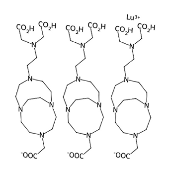 O=C([O-])CN1CCN2CCN(CCN(CCN(CC(=O)O)CC(=O)O)CC2)CC1.O=C([O-])CN1CCN2CCN(CCN(CCN(CC(=O)O)CC(=O)O)CC2)CC1.O=C([O-])CN1CCN2CCN(CCN(CCN(CC(=O)O)CC(=O)O)CC2)CC1.[Lu+3]